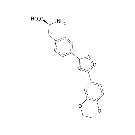 N[C@@H](Cc1ccc(-c2noc(-c3ccc4c(c3)OCCO4)n2)cc1)C(=O)O